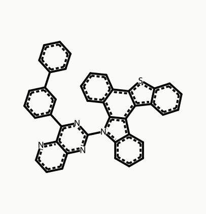 c1ccc(-c2cccc(-c3nc(-n4c5ccccc5c5c6c7ccccc7sc6c6ccccc6c54)nc4cccnc34)c2)cc1